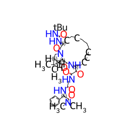 CN(C)C(=O)[C@@H](NC(=O)CNC(=O)C(=O)[C@@H]1CCCCCCCCCC[C@H](NC(=O)NC(C)(C)C)C(=O)N2C[C@H]3[C@@H]([C@H]2C(=O)N1)C3(C)C)c1ccccc1